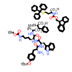 CC(C)[C@H](NC(=O)[C@H](CCCCNC(=O)OC(C)(C)C)NC(=O)[C@@H](Cc1c[nH]c2ccccc12)NC(=O)[C@@H](N)Cc1ccc(OC(C)(C)C)cc1)C(=O)O.CN[C@@H](Cc1ccccc1)C(=O)O.O=C(N[C@@H](CCSC(c1ccccc1)(c1ccccc1)c1ccccc1)C(=O)O)OCC1c2ccccc2-c2ccccc21